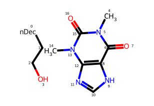 CCCCCCCCCCCCO.Cn1c(=O)c2[nH]cnc2n(C)c1=O